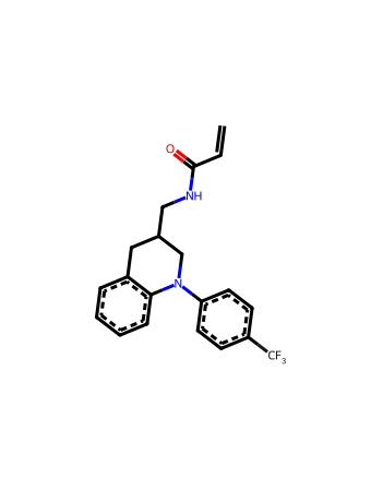 C=CC(=O)NCC1Cc2ccccc2N(c2ccc(C(F)(F)F)cc2)C1